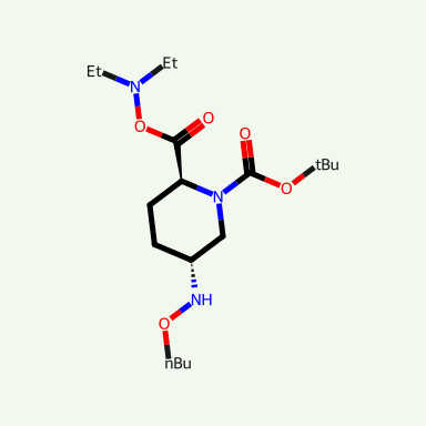 CCCCON[C@@H]1CC[C@@H](C(=O)ON(CC)CC)N(C(=O)OC(C)(C)C)C1